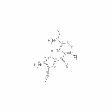 CC[C@@H](N)c1ccc(Cl)c(C(=O)c2ccc(N)c(C#N)c2)c1F